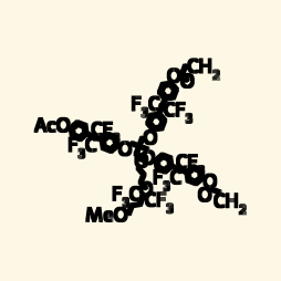 C=CC(=O)Oc1ccc(C(c2ccc(OCC(COCCCOC(CCCOC)(C(F)(F)F)C(F)(F)F)(COc3ccc(C(c4ccc(OC(C)=O)cc4)(C(F)(F)F)C(F)(F)F)cc3)COc3ccc(C(c4ccc(OC(=O)C=C)cc4)(C(F)(F)F)C(F)(F)F)cc3)cc2)(C(F)(F)F)C(F)(F)F)cc1